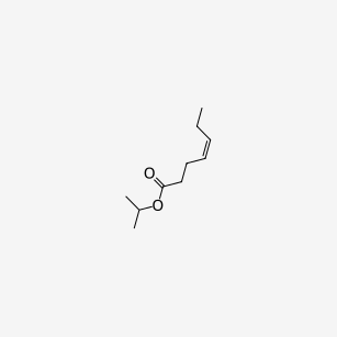 CC/C=C\CCC(=O)OC(C)C